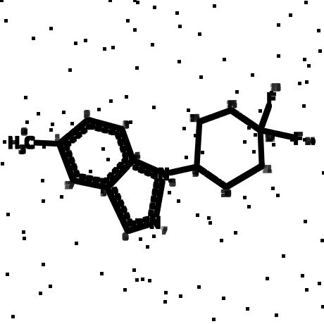 Cc1ccc2c(cnn2C2CCC(F)(F)CC2)c1